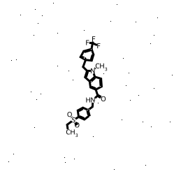 CCS(=O)(=O)c1ccc(CNC(=O)c2ccc3c(c2)cc(Cc2ccc(C(F)(F)F)cc2)n3C)cc1